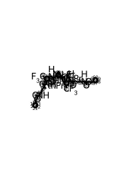 CCC[C@H](CC)Oc1c(NC(=O)CCCCNC(=O)OCc2ccccc2)cc(C(F)(F)F)cc1NC(=O)c1cc(C(=O)Nc2cc(C(F)(F)F)cc(NC(=O)CCCCNC(=O)OCc3ccccc3)c2O[C@@H](CC)CCC)ncn1